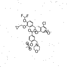 CS(=O)(=O)Oc1ccc(C(=O)O[C@@H](Cc2c(Cl)c[n+]([O-])cc2Cl)c2ccc(OC(F)F)c(OCC3CC3)c2)cc1CN1CCOCC1